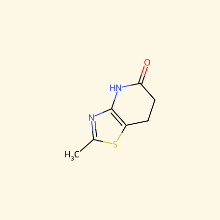 Cc1nc2c(s1)CCC(=O)N2